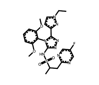 CCn1ccc(-c2nnc(NS(=O)(=O)C(C)Cc3ncc(F)cn3)n2-c2c(OC)cccc2OC)n1